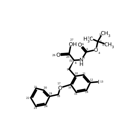 CC(C)(C)OC(=O)N[C@@H](Cc1cc(I)ccc1OCc1ccccc1)C(=O)O